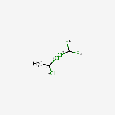 CC(Cl)Cl.FC(F)Cl